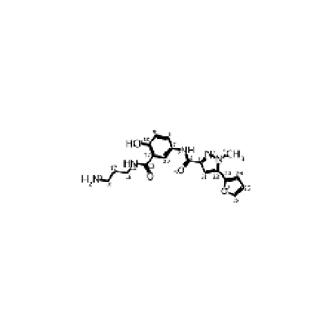 Cn1nc(C(=O)Nc2ccc(O)c(C(=O)NCCCN)c2)cc1-c1ccco1